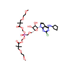 COCCOCC(C)(C)C(=O)OCOP(=O)(COC[C@H]1O[C@@H](n2ccc3c(NC4CCCC4)nc(Cl)nc32)[C@H](O)[C@@H]1O)OCOC(=O)C(C)(C)COCCOC